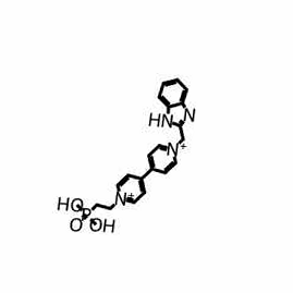 O=P(O)(O)CC[n+]1ccc(-c2cc[n+](Cc3nc4ccccc4[nH]3)cc2)cc1